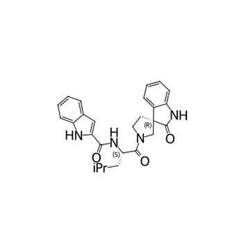 CC(C)C[C@H](NC(=O)c1cc2ccccc2[nH]1)C(=O)N1CC[C@@]2(C1)C(=O)Nc1ccccc12